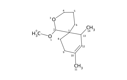 COC1OCCCC12CCC(C)=CC2C